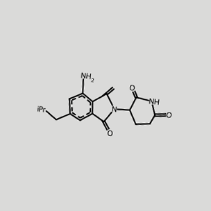 C=C1c2c(N)cc(CC(C)C)cc2C(=O)N1C1CCC(=O)NC1=O